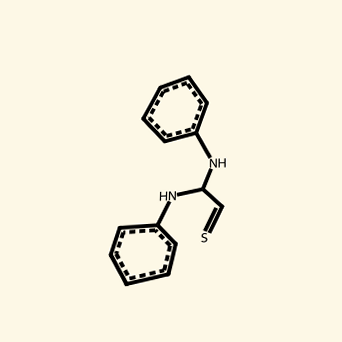 S=CC(Nc1ccccc1)Nc1ccccc1